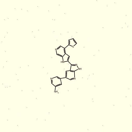 Nc1cncc(-c2cnc3[nH]nc(-c4cc5c(-c6cccs6)cncc5[nH]4)c3c2)c1